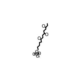 CCC(=O)CCC(=O)CCC(=O)CCCCCOS(=O)(=O)OC